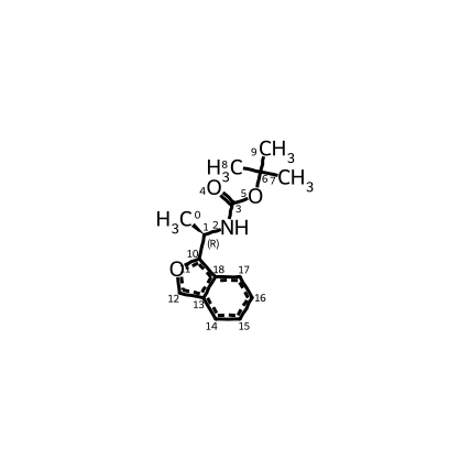 C[C@@H](NC(=O)OC(C)(C)C)c1occ2ccccc12